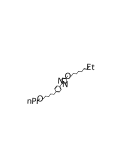 CCC=CCCCCCOc1cnc(-c2ccc(CCCCCOCCC)cc2)nc1